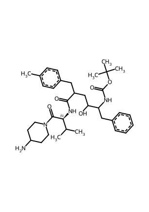 Cc1ccc(CC(CC(O)C(Cc2ccccc2)NC(=O)OC(C)(C)C)C(=O)N[C@H](C(=O)N2CCC(N)CC2)C(C)C)cc1